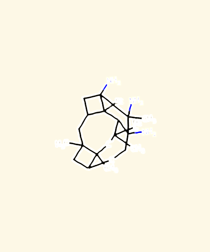 CCC12C3CC4(C)CC5CCC(N)(C1C(C)(C)CC54C)C(C)(N)C2(N)C3